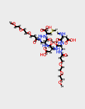 CN[C@@H](CC(=O)O)C(=O)N[C@@H](CNC(=O)CCOCCOCCOC)C(=O)N[C@@H](CC(=O)O)C(=O)N[C@@H](CNC(=O)CCOCCOCCOC)C(=O)NC(CSC)C(=O)O